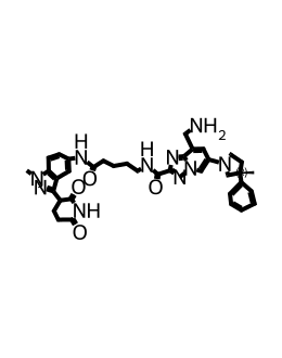 Cn1nc(C2CCC(=O)NC2=O)c2cc(NC(=O)CCCCNC(=O)c3nc4c(CN)cc(N5CC[C@](C)(c6ccccc6)C5)cn4n3)ccc21